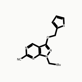 CC(C)(C)Cn1nc(OCc2cccs2)c2cnc(C#N)nc21